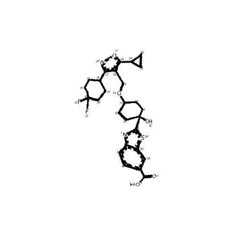 O=C(O)c1ccc2nc(C3(O)CCC(OCc4c(C5CCC(F)(F)CC5)noc4C4CC4)CC3)sc2c1